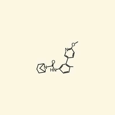 COc1ccc(-c2cc(NC(=O)N3C4CCCC3C4)ccc2C)cn1